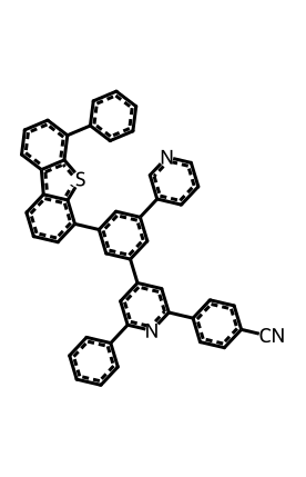 N#Cc1ccc(-c2cc(-c3cc(-c4cccnc4)cc(-c4cccc5c4sc4c(-c6ccccc6)cccc45)c3)cc(-c3ccccc3)n2)cc1